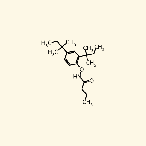 CCCC(=O)NOc1ccc(C(C)(C)CC)cc1C(C)(C)CC